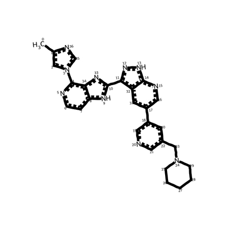 Cc1cn(-c2nccc3[nH]c(-c4n[nH]c5ncc(-c6cncc(CN7CCCCC7)c6)cc45)nc23)cn1